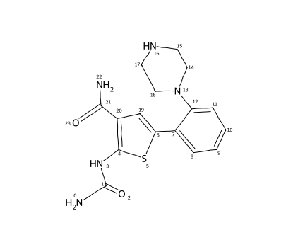 NC(=O)Nc1sc(-c2ccccc2N2CCNCC2)cc1C(N)=O